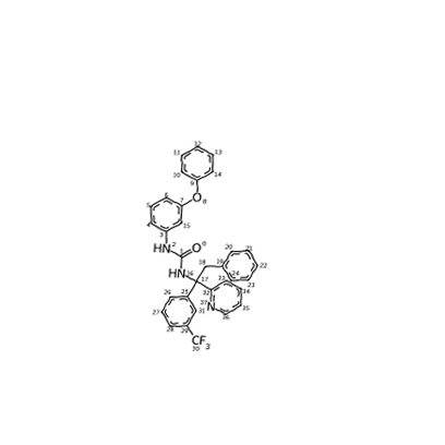 O=C(Nc1cccc(Oc2ccccc2)c1)NC(Cc1ccccc1)(c1cccc(C(F)(F)F)c1)c1ccccn1